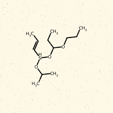 CC=C[SiH](OC(C)C)OC(CC)OCCC